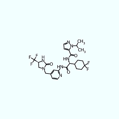 CC(C)n1nccc1C(=O)N[C@H](C(=O)Nc1cc(CN2C[C@@H](C(F)(F)F)NC2=O)ccn1)C1CCC(F)(F)CC1